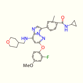 COc1ccc(Oc2cc(NCC3CCOCC3)c3ncc(-c4ccc(C(=O)NC5CC5)c(C)c4)n3n2)c(F)c1